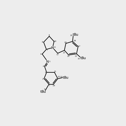 CC(C)(C)C1=CC(/C=N/CC2CCCN2CC2C=C(C(C)(C)C)C=C(C(C)(C)C)C2)CC(C(C)(C)C)=C1